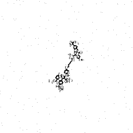 Cc1ncsc1-c1ccc(CNC(=O)[C@@H]2C[C@@H](O)CN2C(=O)[C@@H](NC(=O)CCCCCOc2ccc(Nc3[nH]nc(-c4ccc(NS(=O)(=O)C(F)F)c(O[C@@H](C)c5ccc(F)cc5)c4)c3C(N)O)nc2)C(C)(C)C)cc1